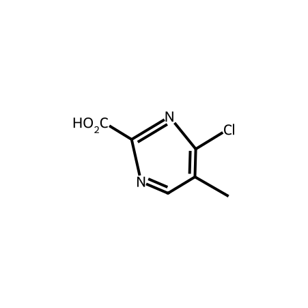 Cc1cnc(C(=O)O)nc1Cl